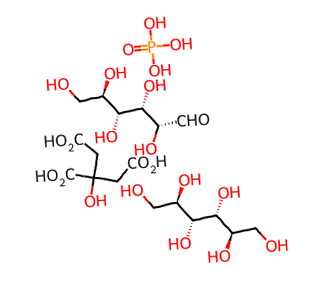 O=C(O)CC(O)(CC(=O)O)C(=O)O.O=C[C@H](O)[C@@H](O)[C@H](O)[C@H](O)CO.O=P(O)(O)O.OC[C@@H](O)[C@@H](O)[C@H](O)[C@H](O)CO